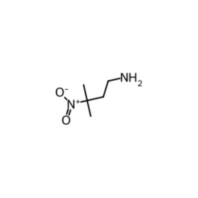 CC(C)(CCN)[N+](=O)[O-]